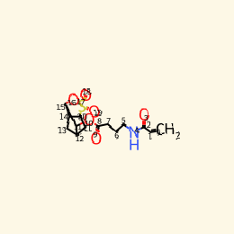 C=CC(=O)NCCCC(=O)OC1C2CC3C1OS(=O)(=O)C3C2